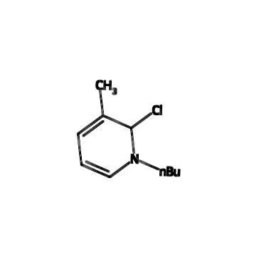 CCCCN1C=CC=C(C)C1Cl